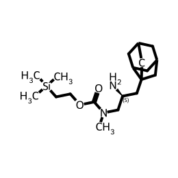 CN(C[C@@H](N)CC12CC3CC(CC1C3)C2)C(=O)OCC[Si](C)(C)C